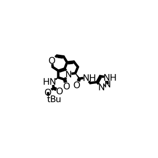 CC(C)(C)OC(=O)N[C@@H]1C(=O)N2C3=C1COC=CC3=CC[C@H]2C(=O)NCc1c[nH]nn1